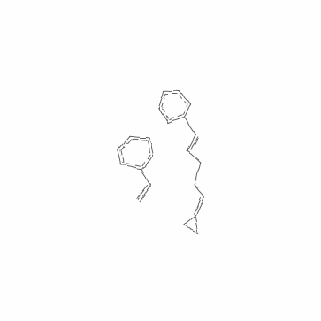 C(=Cc1ccccc1)CCC=C1CC1.C=Cc1ccccc1